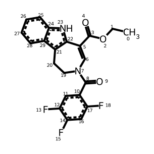 CCOC(=O)C1=CN(C(=O)c2cc(F)c(F)cc2F)CCc2c1[nH]c1ccccc21